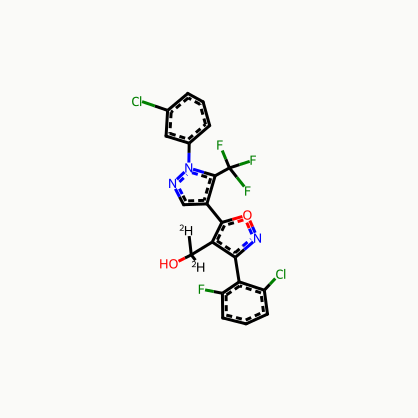 [2H]C([2H])(O)c1c(-c2c(F)cccc2Cl)noc1-c1cnn(-c2cccc(Cl)c2)c1C(F)(F)F